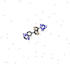 c1ncnc(-c2csc3c(-c4ccc5nccnc5c4)csc23)n1